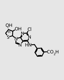 O=C(O)c1cccc(CNc2nc(Cl)nc3c2ncn3C2SC[C@H](O)C2O)c1